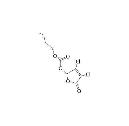 CCCCOC(=O)OC1OC(=O)C(Cl)=C1Cl